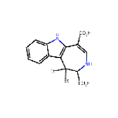 CCC1(CC)c2c([nH]c3ccccc23)C(C(=O)O)=CNC1C(=O)O